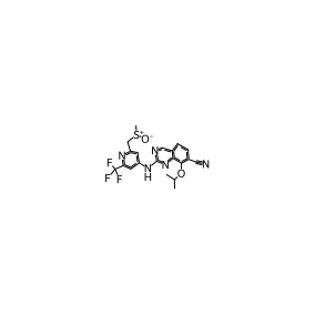 CC(C)Oc1c(C#N)ccc2cnc(Nc3cc(C[S+](C)[O-])nc(C(F)(F)F)c3)nc12